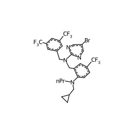 CCCN(CC1CC1)c1ccc(C(F)(F)F)cc1CN(Cc1cc(C(F)(F)F)cc(C(F)(F)F)c1)c1ncc(Br)cn1